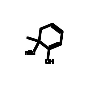 CCCCC1(C)CC=CC=C1O